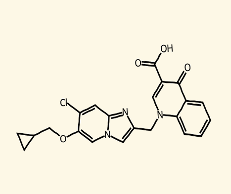 O=C(O)c1cn(Cc2cn3cc(OCC4CC4)c(Cl)cc3n2)c2ccccc2c1=O